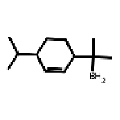 BC(C)(C)C1C=CC(C(C)C)CC1